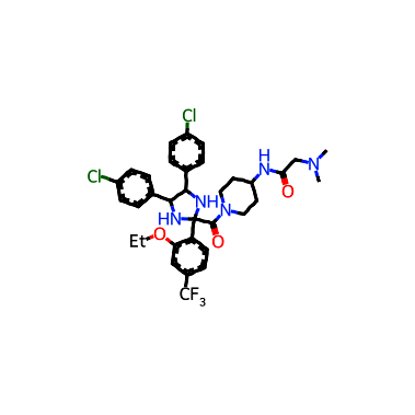 CCOc1cc(C(F)(F)F)ccc1C1(C(=O)N2CCC(NC(=O)CN(C)C)CC2)NC(c2ccc(Cl)cc2)C(c2ccc(Cl)cc2)N1